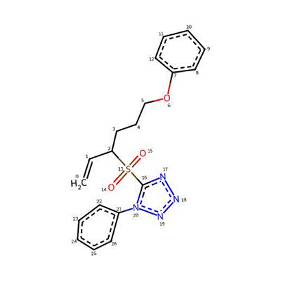 C=CC(CCCOc1ccccc1)S(=O)(=O)c1nnnn1-c1ccccc1